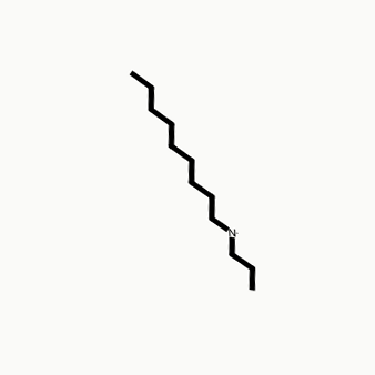 CCCCCCCCC[N]CCC